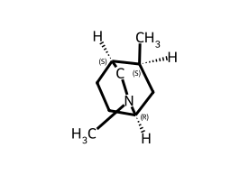 C[C@H]1C[C@H]2CC[C@@H]1CN2C